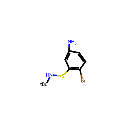 CC(C)(C)NSc1cc(N)ccc1Br